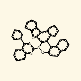 c1ccc(-c2nc(N3Oc4ccc5ccccc5c4-c4c3c3oc5ccccc5c3c3ccccc43)nc3ccccc23)cc1